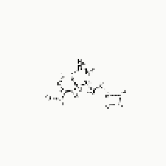 O=Cc1ccc2[nH]nc(OCC3CCC3)c2c1